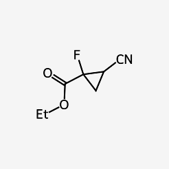 CCOC(=O)C1(F)CC1C#N